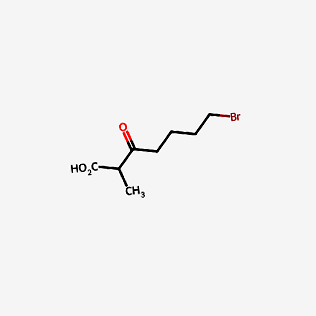 CC(C(=O)O)C(=O)CCCCBr